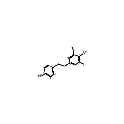 Cc1cc(CCc2ccc(O)cc2)cc(C)c1O